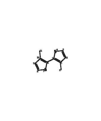 Cc1ccsc1-c1sccc1C